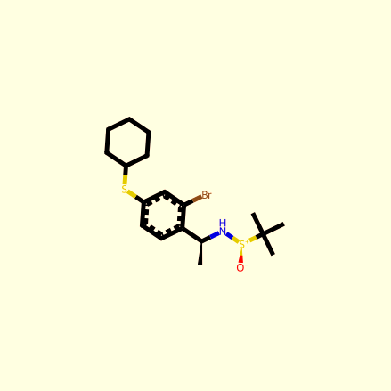 C[C@H](N[S@+]([O-])C(C)(C)C)c1ccc(SC2CCCCC2)cc1Br